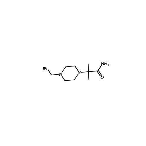 CC(C)CN1CCN(C(C)(C)C(N)=O)CC1